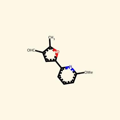 COc1cccc(-c2cc(C=O)c(C)o2)n1